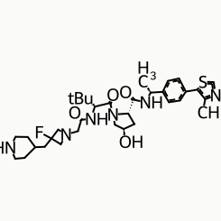 Cc1ncsc1-c1ccc([C@H](C)NC(=O)[C@@H]2C[C@@H](O)CN2C(=O)[C@@H](NC(=O)CN2CC(F)(CC3CCNCC3)C2)C(C)(C)C)cc1